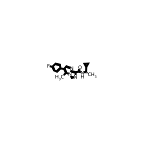 Cc1c(-c2ccc(F)cc2)cnc2c(C(=O)N[C@@H](C)C3CC3)ncn12